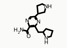 NC(=O)c1ncc(C2CCNC2)nc1CC1CCCN1